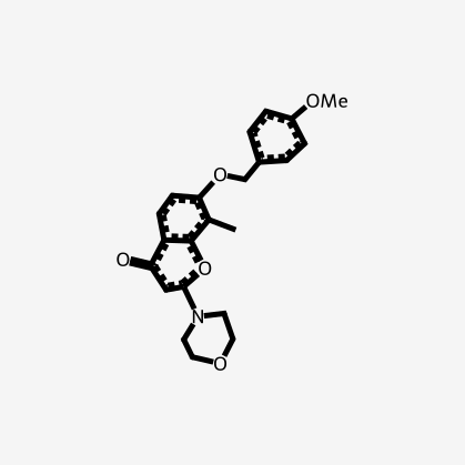 COc1ccc(COc2ccc3c(=O)cc(N4CCOCC4)oc3c2C)cc1